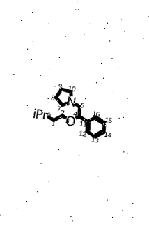 CC(C)CCOC(CN1CCCC1)c1ccccc1